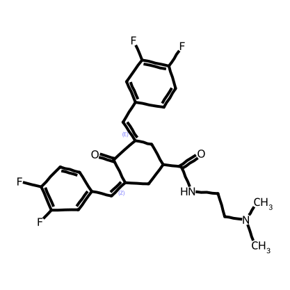 CN(C)CCNC(=O)C1C/C(=C/c2ccc(F)c(F)c2)C(=O)/C(=C/c2ccc(F)c(F)c2)C1